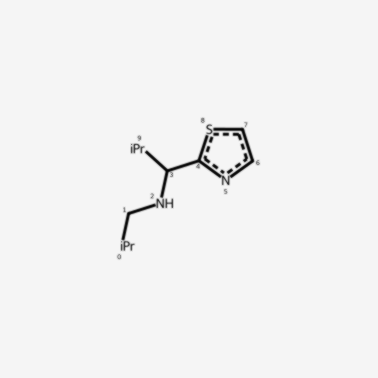 CC(C)CNC(c1nccs1)C(C)C